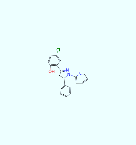 Oc1ccc(Cl)cc1C1=NN(c2ccccn2)C(c2ccccc2)C1